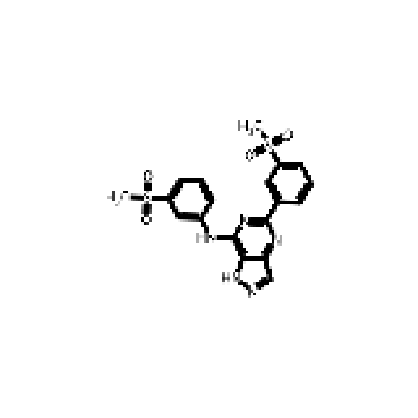 CS(=O)(=O)c1cccc(Nc2nc(-c3cccc(S(C)(=O)=O)c3)nc3cn[nH]c23)c1